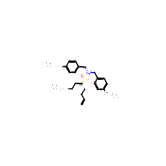 C=CCC[C@@H](CCOC)S(=O)(=O)N(Cc1ccc(OC)cc1)Cc1ccc(OC)cc1